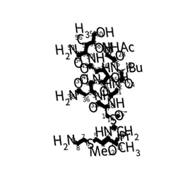 C=C(N/C(=C\CSCCN)C(C)(OC)C(C)C)[S+]([O-])C[C@H](NC(=O)CNC(=O)[C@H](NC(=O)CNC(C)=O)[C@@H](C)CC)C(=O)N[C@@H](CC(N)=O)C(=O)N1C[C@H](O)C[C@@H]1C(=O)N[C@H](C(N)=O)[C@@H](C)[C@@H](O)CO